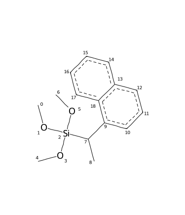 CO[Si](OC)(OC)C(C)c1cccc2ccccc12